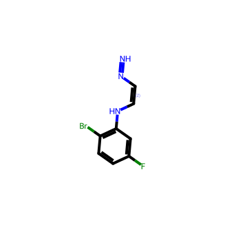 N=N/C=C\Nc1cc(F)ccc1Br